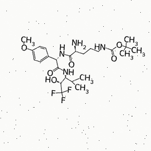 COc1ccc([C@H](NC(=O)[C@@H](N)CCCNC(=O)OC(C)(C)C)C(=O)N[C@@H](C(C)C)[C@H](O)C(F)(F)F)cc1